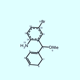 COC(C1=CC=CCC1)c1cc(Br)ccc1N